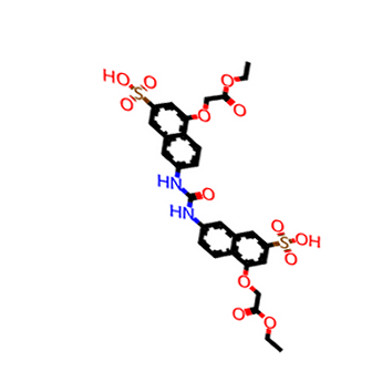 CCOC(=O)COc1cc(S(=O)(=O)O)cc2cc(NC(=O)Nc3ccc4c(OCC(=O)OCC)cc(S(=O)(=O)O)cc4c3)ccc12